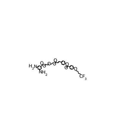 Nc1cc(N)cc(C(=O)OCCOCCOC(=O)/C=C/c2ccc(OC(=O)c3ccc(OCCCCC(F)(F)F)cc3)cc2)c1